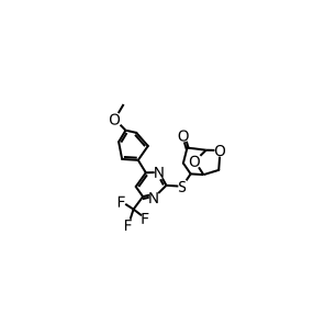 COc1ccc(-c2cc(C(F)(F)F)nc(SC3CC(=O)C4OCC3O4)n2)cc1